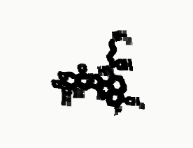 CC[C@@]1(O)C(=O)OCc2c1cc1n(c2=O)Cc2c-1nc1cc(F)c(C)c3c1c2[C@@H](NC(O)CCCN)CC3